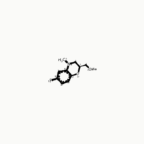 COC[C@@H]1CN(C)c2cc(F)ccc2O1